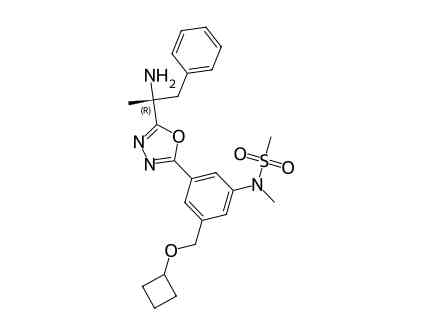 CN(c1cc(COC2CCC2)cc(-c2nnc([C@](C)(N)Cc3ccccc3)o2)c1)S(C)(=O)=O